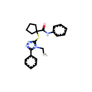 CCn1c(SC2(C(=O)Nc3ccccc3)CCCC2)nnc1-c1ccccc1